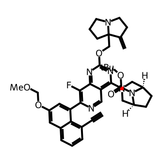 C#Cc1cccc2cc(OCOC)cc(-c3ncc4c(N5C[C@H]6CC[C@@H](C5)N6C(=O)OC(C)(C)C)nc(OCC56CCCN5CCC6=C)nc4c3F)c12